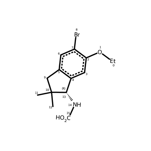 CCOc1cc2c(cc1Br)CC(C)(C)[C@H]2NC(=O)O